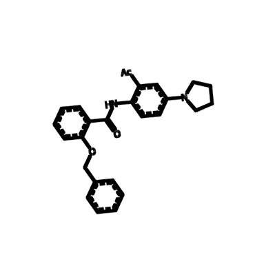 CC(=O)c1cc(N2CCCC2)ccc1NC(=O)c1ccccc1OCc1ccccc1